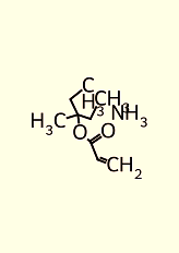 C=CC(=O)OC(C)(CC)CC.N